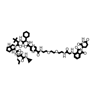 CCC[C@H](NC(=O)[C@@H]1[C@H]2CCC[C@H]2CN1C(=O)[C@@H](NC(=O)[C@@H](NC(=O)c1cnc(C(=O)NCCOCCOCCNC(=O)CNc2cccc3c2C(=O)N(C2CCC(=O)NC2=O)C3=O)cn1)C1CCCCC1)C(C)(C)C)C(=O)C(=O)NC1CC1